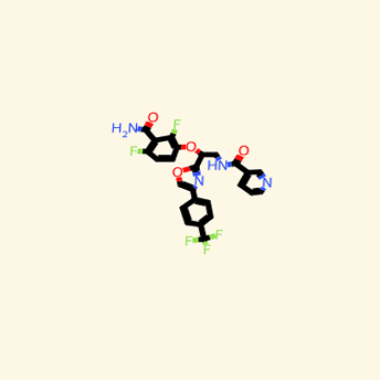 NC(=O)c1c(F)ccc(OC(CNC(=O)c2cccnc2)c2nc(-c3ccc(C(F)(F)F)cc3)co2)c1F